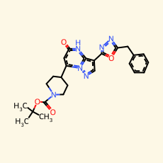 CC(C)(C)OC(=O)N1CCC(c2cc(=O)[nH]c3c(-c4nnc(Cc5ccccc5)o4)cnn23)CC1